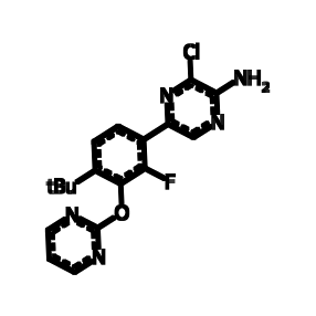 CC(C)(C)c1ccc(-c2cnc(N)c(Cl)n2)c(F)c1Oc1ncccn1